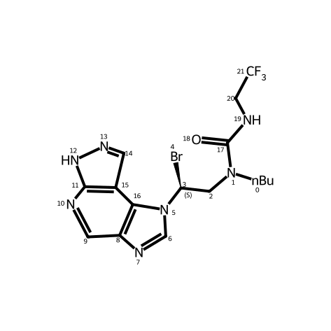 CCCCN(C[C@H](Br)n1cnc2cnc3[nH]ncc3c21)C(=O)NCC(F)(F)F